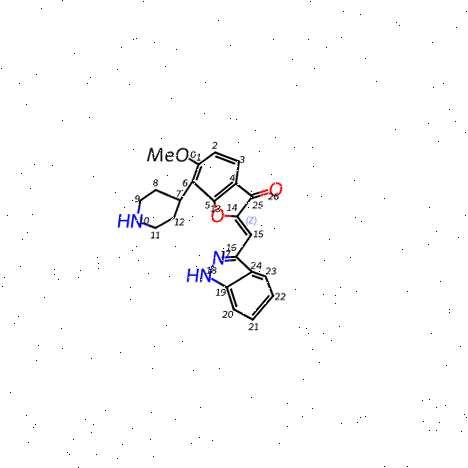 COc1ccc2c(c1C1CCNCC1)O/C(=C\c1n[nH]c3ccccc13)C2=O